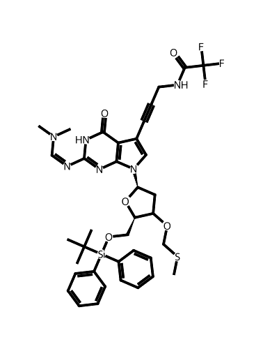 CSCOC1C[C@H](n2cc(C#CCNC(=O)C(F)(F)F)c3c(=O)[nH]c(/N=C\N(C)C)nc32)O[C@@H]1CO[Si](c1ccccc1)(c1ccccc1)C(C)(C)C